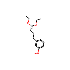 CCO[SiH](CCCc1cc[c]c(OC)c1)OCC